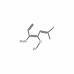 C=C/C(NC)=C(\C=C(/C)F)OC(C)C